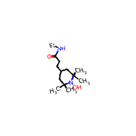 CCNC(=O)CCC1CC(C)(C)N(O)C(C)(C)C1